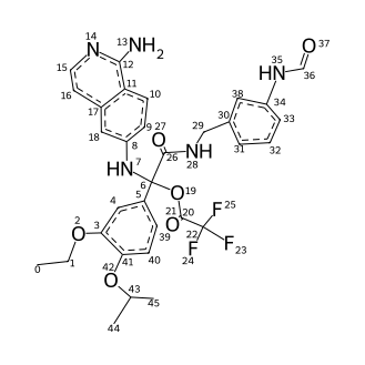 CCOc1cc(C(Nc2ccc3c(N)nccc3c2)(OC(=O)C(F)(F)F)C(=O)NCc2cccc(NC=O)c2)ccc1OC(C)C